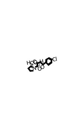 CC(CC(=O)c1ccc(Cl)cc1)C(=O)N1CCC[C@H]1C(=O)O